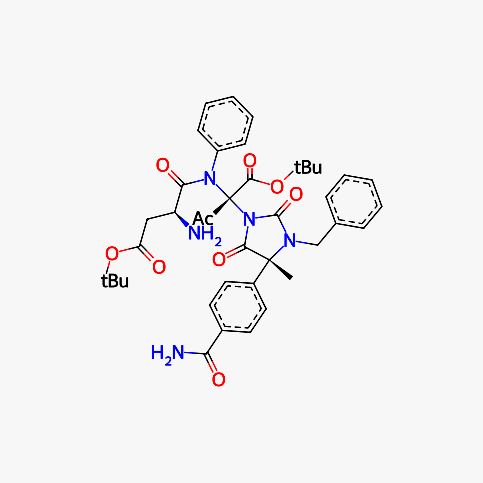 CC(=O)[C@@](C(=O)OC(C)(C)C)(N1C(=O)N(Cc2ccccc2)[C@](C)(c2ccc(C(N)=O)cc2)C1=O)N(C(=O)[C@@H](N)CC(=O)OC(C)(C)C)c1ccccc1